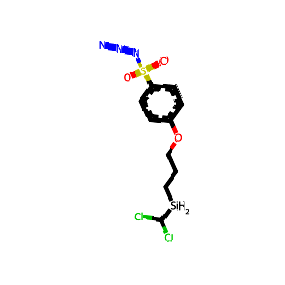 [N-]=[N+]=NS(=O)(=O)c1ccc(OCCC[SiH2]C(Cl)Cl)cc1